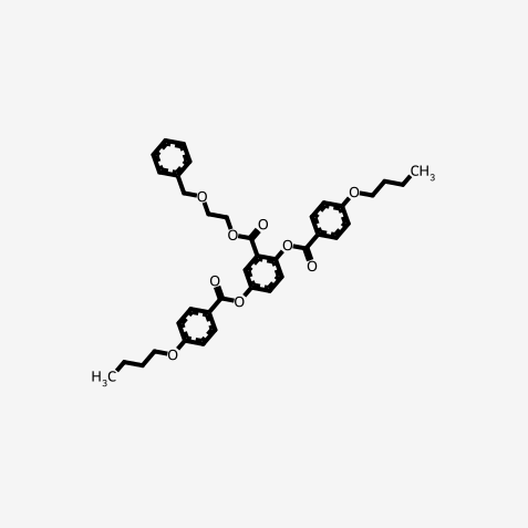 CCCCOc1ccc(C(=O)Oc2ccc(OC(=O)c3ccc(OCCCC)cc3)c(C(=O)OCCOCc3ccccc3)c2)cc1